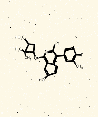 Cc1cc(-c2c(C(C)C)nc(OC3CC(C(=O)O)C3(C)C)c3cc(O)ccc23)ccc1F